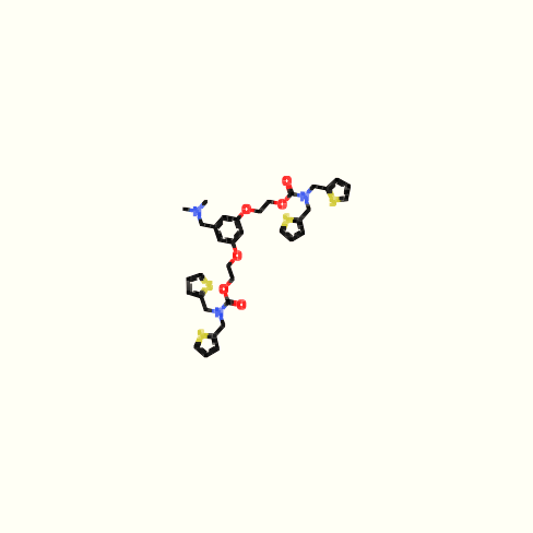 CN(C)Cc1cc(OCCOC(=O)N(Cc2cccs2)Cc2cccs2)cc(OCCOC(=O)N(Cc2cccs2)Cc2cccs2)c1